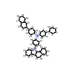 c1ccc(-c2ccc(N(c3ccc(-c4ccc5ccccc5c4)cc3)c3ccc(-n4c5ccccc5c5ccc6ccccc6c54)cc3)cc2)cc1